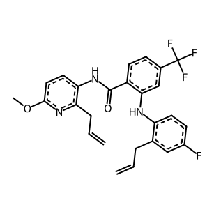 C=CCc1cc(F)ccc1Nc1cc(C(F)(F)F)ccc1C(=O)Nc1ccc(OC)nc1CC=C